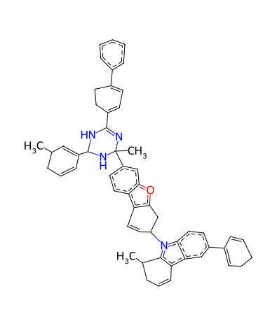 CC1C=C(C2NC(C3=CC=C(c4ccccc4)CC3)=NC(C)(c3ccc4c5c(oc4c3)CC(n3c4c(c6cc(C7=CCCC=C7)ccc63)C=CCC4C)C=C5)N2)C=CC1